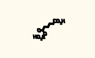 O=C(O)C=CC=CC(=O)OC(=O)O